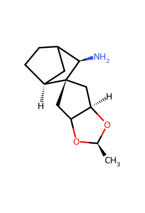 C[C@H]1OC2C[C@@]3(C[C@H]2O1)[C@H]1CCC(C1)[C@H]3N